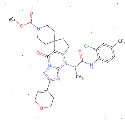 CC(C(=O)Nc1ccc(C(F)(F)F)cc1Cl)n1c2c(c(=O)n3nc(C4=CCOCC4)nc13)C1(CC2)CCN(C(=O)OC(C)(C)C)CC1